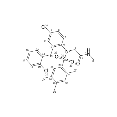 CNC(=O)CN(c1ccc(Cl)cc1Cc1ccccc1Cl)S(=O)(=O)c1cc(C)c(C)cc1C